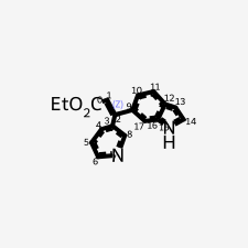 CCOC(=O)/C=C(\c1cccnc1)c1ccc2cc[nH]c2c1